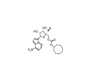 N#C[C@]1(COC(=O)OC2CCCCCCC2)O[C@@H](c2ccc3c(N)ncnn23)[C@H](O)[C@@H]1O